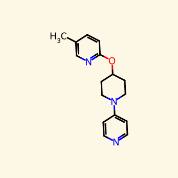 Cc1ccc(OC2CCN(c3ccncc3)CC2)nc1